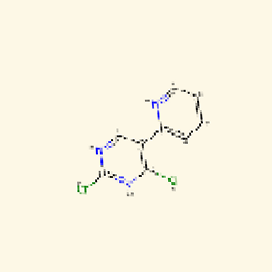 Clc1ncc(-c2ccccn2)c(Cl)n1